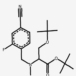 CN(Cc1ccc(C#N)cc1F)C(COC(C)(C)C)C(=O)OC(C)(C)C